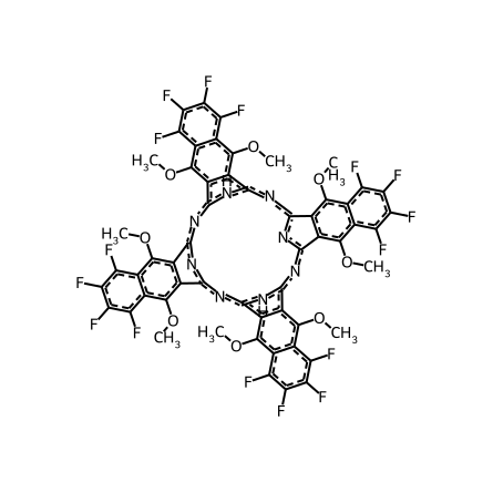 COc1c2c(c(OC)c3c(F)c(F)c(F)c(F)c13)-c1nc-2nc2[nH]c(nc3nc(nc4[nH]c(n1)c1c(OC)c5c(F)c(F)c(F)c(F)c5c(OC)c41)-c1c-3c(OC)c3c(F)c(F)c(F)c(F)c3c1OC)c1c(OC)c3c(F)c(F)c(F)c(F)c3c(OC)c21